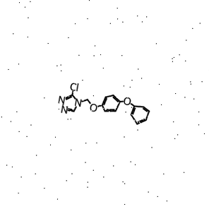 Clc1nncn1COc1ccc(Oc2ccccc2)cc1